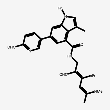 CCCC(/C=C(/C)NC)=C(/C=O)CNC(=O)c1cc(-c2ccc(C=O)nc2)cc2c1c(C)cn2C(C)C